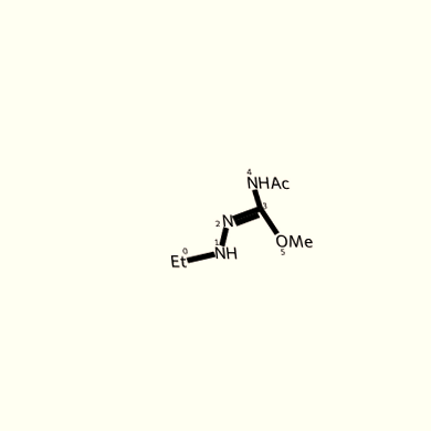 CCN/N=C(/NC(C)=O)OC